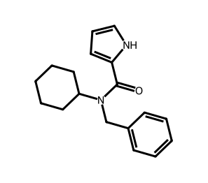 O=C(c1ccc[nH]1)N(Cc1ccccc1)C1CCCCC1